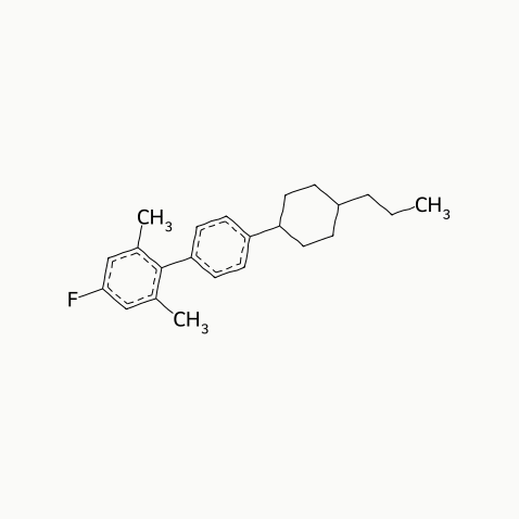 CCCC1CCC(c2ccc(-c3c(C)cc(F)cc3C)cc2)CC1